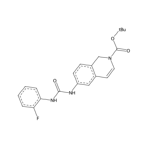 CC(C)(C)OC(=O)N1C=Cc2cc(NC(=O)Nc3ccccc3F)ccc2C1